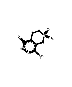 Cc1n[nH]c(=O)c2c1CS(=O)(=O)CC2